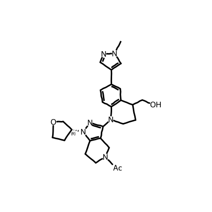 CC(=O)N1CCc2c(c(N3CCC(CO)c4cc(-c5cnn(C)c5)ccc43)nn2[C@@H]2CCOC2)C1